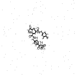 Cc1cc(CNC(=O)c2cc(C(=O)NCC34CCC(C(=O)NS(C)(=O)=O)(CC3)CC4)n3ncc(F)c3n2)ccc1F